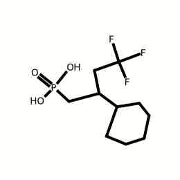 O=P(O)(O)CC(CC(F)(F)F)C1CCCCC1